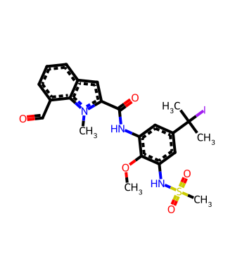 COc1c(NC(=O)c2cc3cccc(C=O)c3n2C)cc(C(C)(C)I)cc1NS(C)(=O)=O